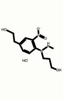 CNN(CCCO)c1ccc(CCO)cc1[N+](=O)[O-].Cl